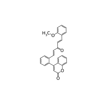 COc1ccccc1C=CC(=O)C=Cc1ccccc1-c1cc(=O)oc2ccccc12